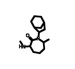 CNC1CCCC(C)N(C2CC3CCCC2C3)C1=O